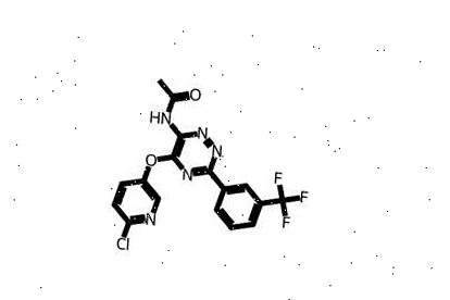 CC(=O)Nc1nnc(-c2cccc(C(F)(F)F)c2)nc1Oc1ccc(Cl)nc1